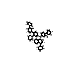 C1=CCC(c2cc(N(c3ccc4c(c3)sc3ccccc34)c3ccc(-c4ccccc4)c4ccccc34)ccc2-c2cccc3c2oc2ccccc23)C=C1